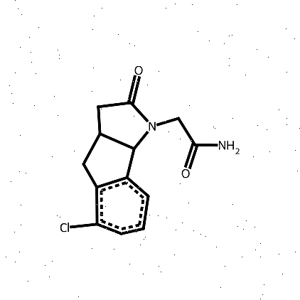 NC(=O)CN1C(=O)CC2Cc3c(Cl)cccc3C21